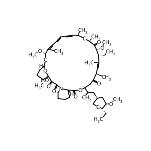 CC[C@@H]1CC[C@@H](CC(C)C2CC(=O)[C@H](C)/C=C(\C)[C@@H](CC)[C@@H](OC)C(=O)[C@H](C)C[C@H](C)/C=C/C=C/C=C(\C)[C@@H](OC)C[C@@H]3CC[C@@H](C)[C@@](O)(O3)C(=O)C(=O)N3CCCC[C@H]3C(=O)O2)C[C@H]1OC